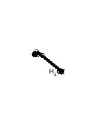 C[N+]1(CCCCCCCCCCCCCCCCOCCC2COc3ccccc3O2)CCCCC1